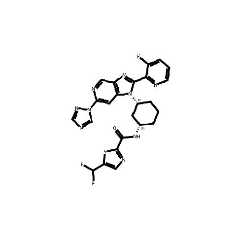 O=C(N[C@H]1CCC[C@@H](n2c(-c3ncccc3F)nc3cnc(-n4cncn4)cc32)C1)c1ncc(C(F)F)s1